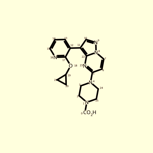 O=C(O)N1CCN(c2ccn3ncc(-c4cccnc4OC4CC4)c3n2)CC1